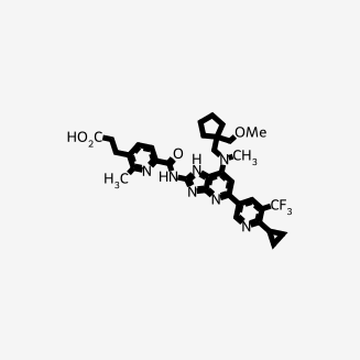 COCC1(CN(C)c2cc(-c3cnc(C4CC4)c(C(F)(F)F)c3)nc3nc(NC(=O)c4ccc(CCC(=O)O)c(C)n4)[nH]c23)CCCC1